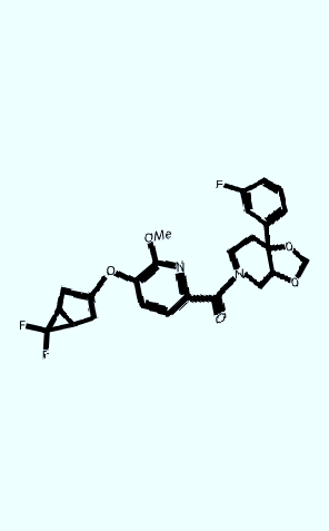 COc1nc(C(=O)N2CCC3(c4cccc(F)c4)OCOC3C2)ccc1OC1CC2C(C1)C2(F)F